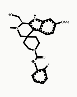 COc1ccc2c3c([nH]c2c1)[C@H](CO)N(C)CC31CCN(C(=O)Nc2ccccc2F)CC1